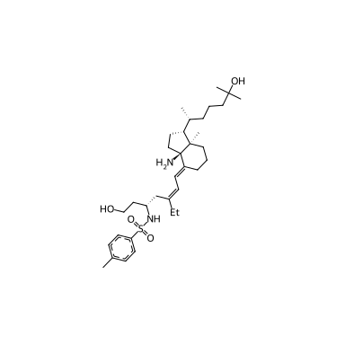 CC/C(=C/C=C1\CCC[C@]2(C)[C@@H]([C@H](C)CCCC(C)(C)O)CC[C@@]12N)C[C@@H](CCO)NS(=O)(=O)c1ccc(C)cc1